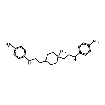 C[N+]1(CCNc2ccc(N)cc2)CCN(CCNc2ccc(N)cc2)CC1